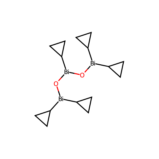 C1C[CH]1[Bi]([O][Bi]([CH]1CC1)[CH]1CC1)[O][Bi]([CH]1CC1)[CH]1CC1